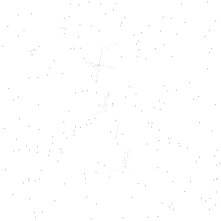 C=CC(C)(C)[CH]/C=C(\C)CCC=C(C)C